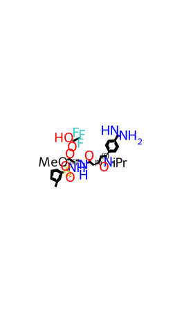 COC(=O)[C@H](CNC(=O)C[C@H]1C[C@@H](c2ccc(C(=N)N)cc2)N(C(C)C)O1)NS(=O)(=O)c1cccc(C)c1.O=C(O)C(F)(F)F